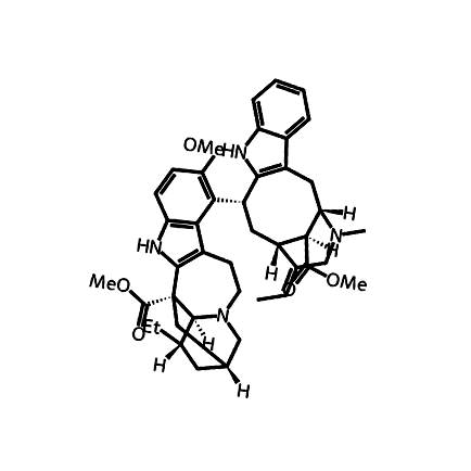 C/C=C1/CN(C)[C@H]2Cc3c([nH]c4ccccc34)[C@@H](c3c(OC)ccc4[nH]c5c(c34)CCN3C[C@@H]4C[C@H](CC)[C@H]3[C@@]5(C(=O)OC)C4)C[C@@H]1[C@@H]2C(=O)OC